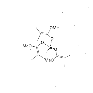 COC(O[Si](C)(OC(OC)=C(C)C)OC(OC)=C(C)C)=C(C)C